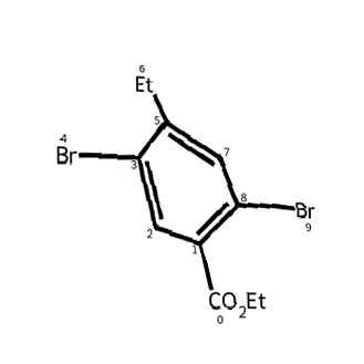 CCOC(=O)c1cc(Br)c(CC)cc1Br